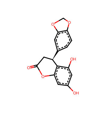 O=C1C[C@@H](c2ccc3c(c2)OCO3)c2c(O)cc(O)cc2O1